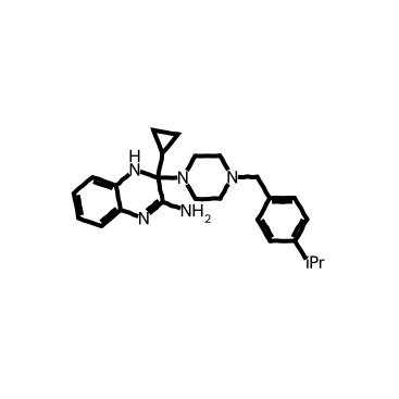 CC(C)c1ccc(CN2CCN(C3(C4CC4)Nc4ccccc4N=C3N)CC2)cc1